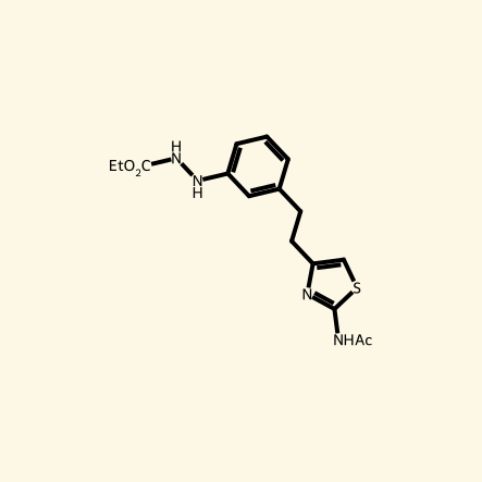 CCOC(=O)NNc1cccc(CCc2csc(NC(C)=O)n2)c1